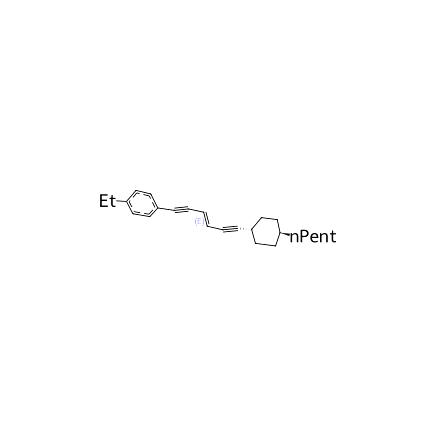 CCCCC[C@H]1CC[C@H](C#C/C=C/C#Cc2ccc(CC)cc2)CC1